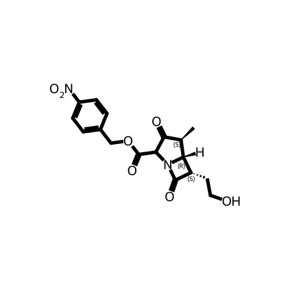 C[C@@H]1C(=O)C(C(=O)OCc2ccc([N+](=O)[O-])cc2)N2C(=O)[C@@H](CCO)[C@@H]12